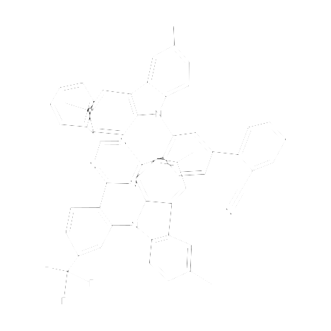 Cc1ccc2c(c1)c1cc(C)ccc1n2-c1cc(-c2ccccc2C#N)ccc1-c1nc(-c2ccccc2)nc(-c2ccc(C(F)(F)F)cc2-n2c3ccc(C)cc3c3cc(C)ccc32)n1